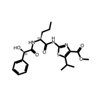 CCC[C@H](NC(=O)[C@H](O)c1ccccc1)C(=O)Nc1nc(C(=O)OC)c(C(C)C)s1